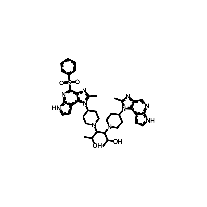 Cc1nc2cnc3[nH]ccc3c2n1C1CCN(C(C(C)O)C(C(C)O)N2CCC(n3c(C)nc4c(S(=O)(=O)c5ccccc5)nc5[nH]ccc5c43)CC2)CC1